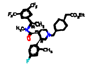 CCOC(=O)C[C@H]1CC[C@@H](CN2CC[C@H](C(=O)N(C)[C@@H](C)c3cc(C(F)(F)F)cc(C(F)(F)F)c3)[C@@H](c3ccc(F)cc3C)C2)CC1